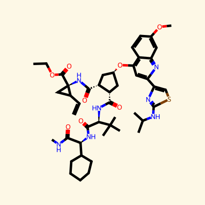 C=CC1C[C@]1(NC(=O)[C@@H]1C[C@H](Oc2cc(-c3csc(NC(C)C)n3)nc3cc(OC)ccc23)C[C@@H]1C(=O)N[C@H](C(=O)N[C@H](C(=O)NC)C1CCCCC1)C(C)(C)C)C(=O)OCC